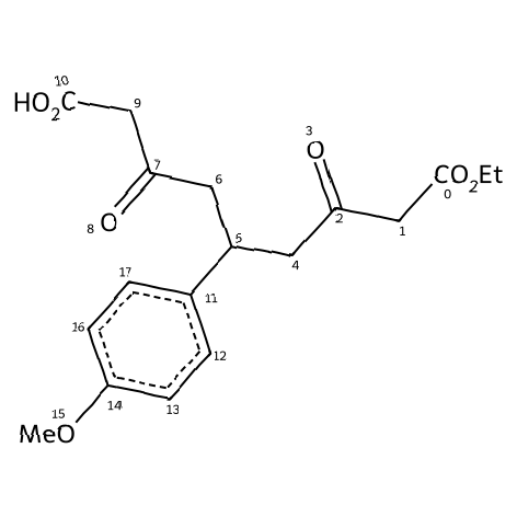 CCOC(=O)CC(=O)CC(CC(=O)CC(=O)O)c1ccc(OC)cc1